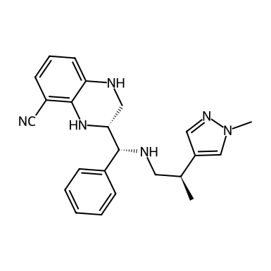 C[C@@H](CN[C@H](c1ccccc1)[C@H]1CNc2cccc(C#N)c2N1)c1cnn(C)c1